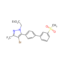 CCOC(=O)Cn1nc(C(F)(F)F)c(Br)c1-c1ccc(-c2cccc(S(C)(=O)=O)c2)cc1